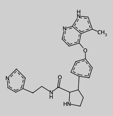 Cc1c[nH]c2nccc(Oc3ccc(C4CCNC4C(=O)NCCc4ccncc4)cc3)c12